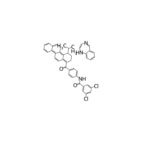 C1=CNc2ccccc2C=N1.CC(C)C1CCC(C(=O)c2ccc(NC(=O)c3cc(Cl)cc(Cl)c3)cc2)=c2ccc3c(c21)CC=c1ccccc1=3